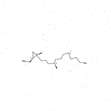 CC(C)CCC[C@@H](C)CCC[C@@H](C)CCC[C@@]1(C)O[C@@H]1CO